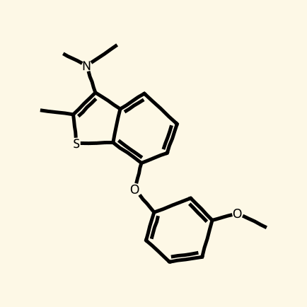 COc1cccc(Oc2cccc3c(N(C)C)c(C)sc23)c1